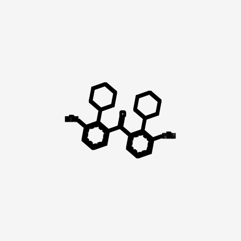 CCCCc1cccc(C(=O)c2cccc(CCCC)c2C2CCCCC2)c1C1CCCCC1